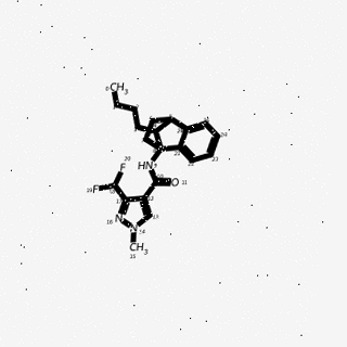 CCCCC1C2CCC1(NC(=O)c1cn(C)nc1C(F)F)c1ccccc12